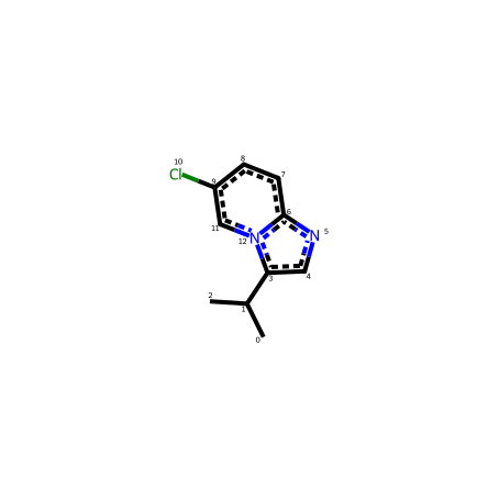 CC(C)c1cnc2ccc(Cl)cn12